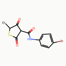 CCC1SC(=O)C(C(=O)Nc2ccc(Br)cc2)C1=O